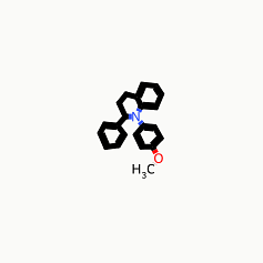 COc1ccc(N2c3ccccc3CCC2c2ccccc2)cc1